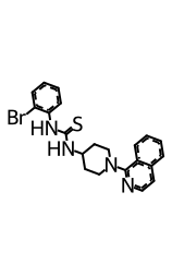 S=C(Nc1ccccc1Br)NC1CCN(c2nccc3ccccc23)CC1